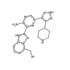 CC(C)Cc1cccc2[nH]c(-c3nc(-c4c[nH]nc4C4CCNCC4)cnc3N)nc12